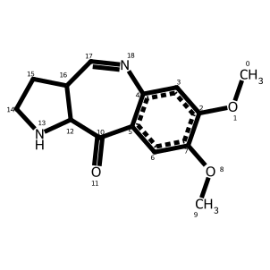 COc1cc2c(cc1OC)C(=O)C1NCCC1C=N2